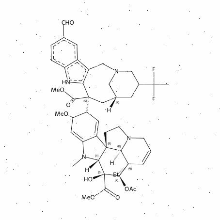 CC[C@]12C=CCN3CC[C@@]4(C5=CC([C@@]6(C(=O)OC)C[C@H]7CC(C(C)(F)F)CN(Cc8c6[nH]c6ccc(C=O)cc86)C7)C(OC)C=C5N(C)[C@H]4[C@@](O)(C(=O)OC)[C@@H]1OC(C)=O)[C@@H]32